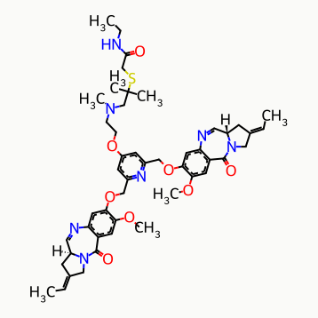 C/C=C1\C[C@H]2C=Nc3cc(OCc4cc(OCCN(C)CC(C)(C)SCC(=O)NCC)cc(COc5cc6c(cc5OC)C(=O)N5C/C(=C/C)C[C@H]5C=N6)n4)c(OC)cc3C(=O)N2C1